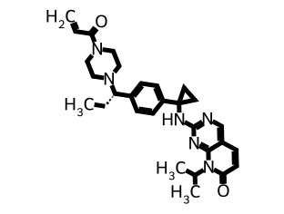 C=CC(=O)N1CCN([C@@H](CC)c2ccc(C3(Nc4ncc5ccc(=O)n(C(C)C)c5n4)CC3)cc2)CC1